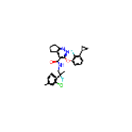 Cc1ccc(C(C)(F)CNC(=O)c2c(Oc3cccc(C4CC4)c3F)nnc3c2CCC3)c(Cl)c1